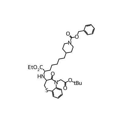 CCOC(=O)[C@@H](CCCCCC1CCN(C(=O)OCc2ccccc2)CC1)NC1CSc2ccccc2N(CC(=O)OC(C)(C)C)C1=O